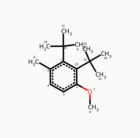 COc1ccc(C)c(C(C)(C)C)c1C(C)(C)C